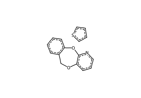 c1ccc2c(c1)COc1cccnc1O2.c1ccsc1